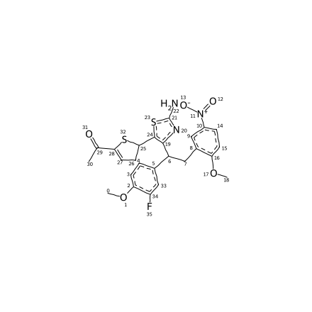 COc1ccc(C(Cc2cc([N+](=O)[O-])ccc2OC)c2nc(N)sc2C2CC=C(C(C)=O)S2)cc1F